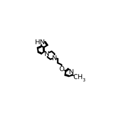 Cc1ccc(OCCCN2CCN(c3cccc4[nH]ccc34)CC2)cn1